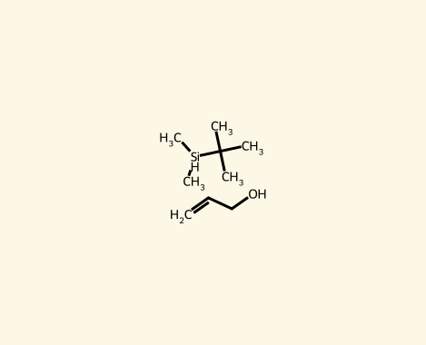 C=CCO.C[SiH](C)C(C)(C)C